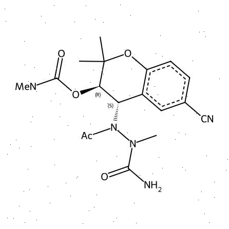 CNC(=O)O[C@@H]1[C@@H](N(C(C)=O)N(C)C(N)=O)c2cc(C#N)ccc2OC1(C)C